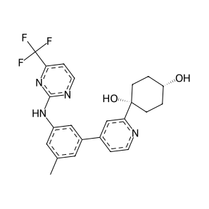 Cc1cc(Nc2nccc(C(F)(F)F)n2)cc(-c2ccnc([C@]3(O)CC[C@@H](O)CC3)c2)c1